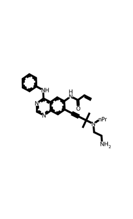 C=CC(=O)Nc1cc2c(Nc3ccccc3)ncnc2cc1C#CC(C)(C)N(CCC)CCN